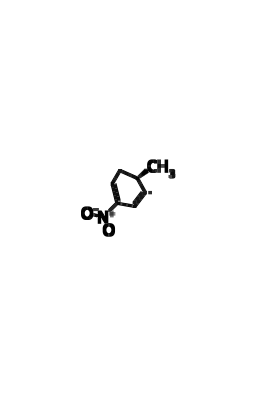 C[C@H]1[C]=CC([N+](=O)[O-])=CC1